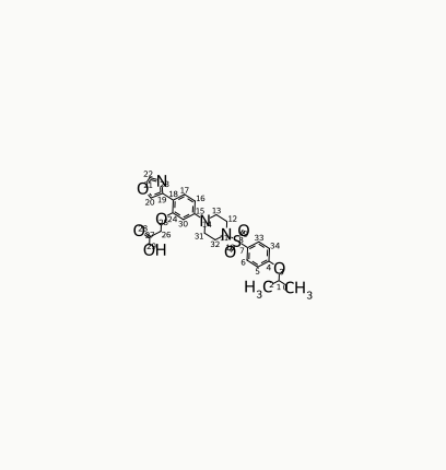 CC(C)Oc1ccc(S(=O)(=O)N2CCN(c3ccc(-c4cocn4)c(OCC(=O)O)c3)CC2)cc1